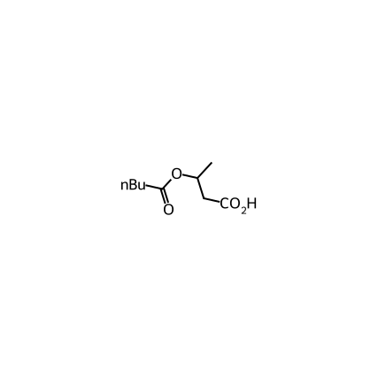 CCCCC(=O)OC(C)CC(=O)O